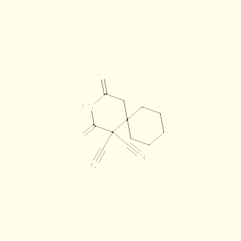 N#CC1(C#N)C(=O)NC(=O)CC12CCCCC2